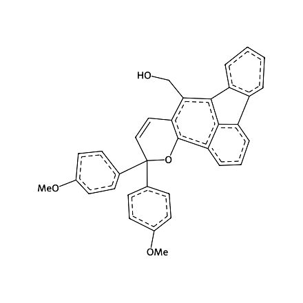 COc1ccc(C2(c3ccc(OC)cc3)C=Cc3c(CO)c4c5c(cccc5c3O2)-c2ccccc2-4)cc1